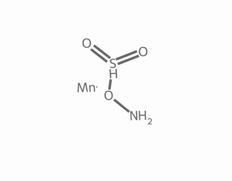 NO[SH](=O)=O.[Mn]